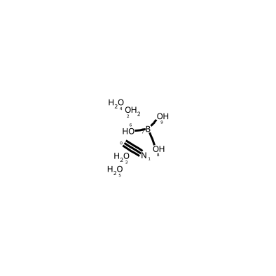 C#N.O.O.O.O.OB(O)O